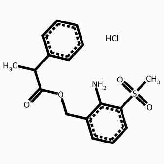 CC(C(=O)OCc1cccc(S(C)(=O)=O)c1N)c1ccccc1.Cl